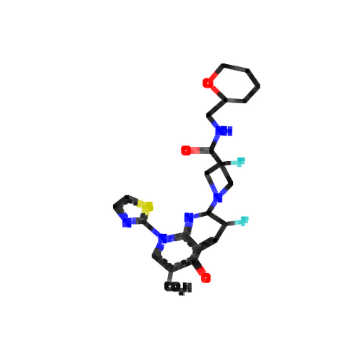 O=C(O)c1cn(-c2nccs2)c2c(c1=O)=CC(F)C(N1CC(F)(C(=O)NCC3CCCCO3)C1)N=2